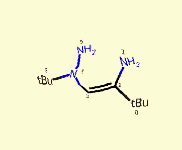 CC(C)(C)/C(N)=C/N(N)C(C)(C)C